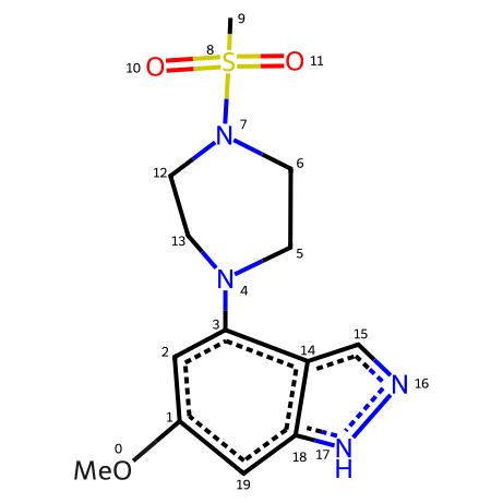 COc1cc(N2CCN(S(C)(=O)=O)CC2)c2cn[nH]c2c1